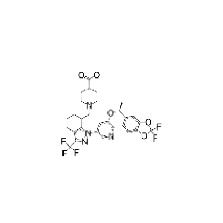 COC(=O)C1CCN(CC2CCCc3c(C(F)(F)F)nn(-c4cncc(O[C@@H](C)c5ccc6c(c5)OC(F)(F)O6)c4)c32)CC1